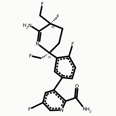 NC(=O)c1ncc(F)cc1-c1ccc(F)c([C@]2(CF)CC[C@](F)(CF)C(N)=N2)c1